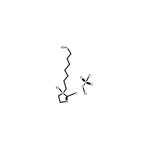 CCCCCCCCCCCCCCCCC[N+]1(CC)CCN=C1CC.CCOS(=O)(=O)[O-]